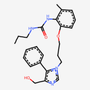 CCCNC(=O)Nc1c(C)cccc1OCCCn1cnc(CO)c1-c1ccccc1